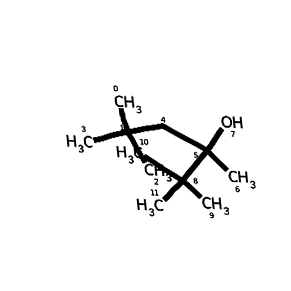 CC(C)(C)CC(C)(O)C(C)(C)C